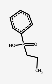 CCCP(=O)(O)c1ccccc1